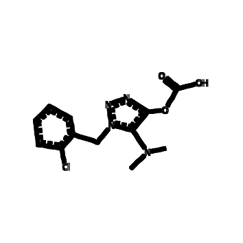 CN(C)c1c(OC(=O)O)nnn1Cc1ccccc1Cl